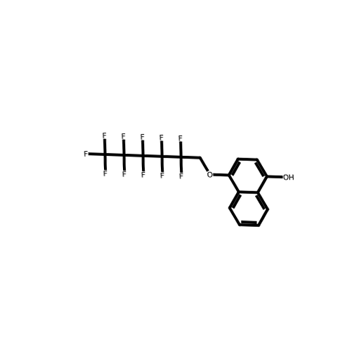 Oc1ccc(OCC(F)(F)C(F)(F)C(F)(F)C(F)(F)C(F)(F)F)c2ccccc12